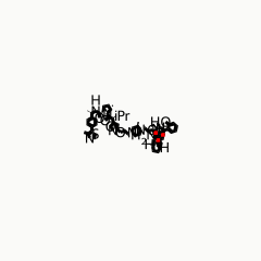 Cc1ncsc1-c1ccc([C@H](C)NC(=O)[C@@H]2C[CH]CN2C(=O)[C@@H](c2cc(OCCN3CCN(CCOc4cc(N5[C@H]6CC[C@H]5CN(c5cc(-c7ccccc7O)nnc5N)C6)ccn4)[C@H](C)C3)no2)C(C)C)cc1